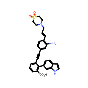 Nc1cc(C#Cc2cccc(C(=O)O)c2-c2ccc3cc[nH]c3c2)ccc1/C=C/CN1CCS(=O)(=O)CC1